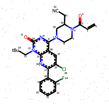 C=CC(=O)N1CCN(c2nc(=O)n(CC(C)(C)C)c3nc(-c4ccccc4F)c(Cl)cc23)CC1CC#N